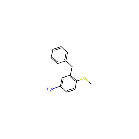 CSc1ccc(N)cc1Cc1ccccc1